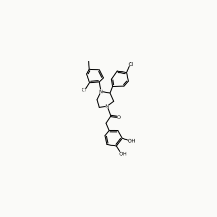 Cc1ccc(N2CCN(C(=O)Cc3ccc(O)c(O)c3)CC2c2ccc(Cl)cc2)c(Cl)c1